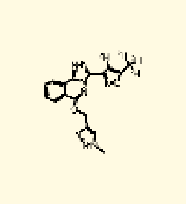 [2H]c1c(-c2nnc3c4ccccc4c(OCc4cn(C)nn4)nn23)noc1C([2H])([2H])[2H]